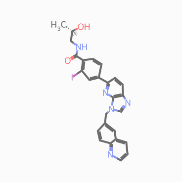 C[C@H](O)CNC(=O)c1ccc(-c2ccc3ncn(Cc4ccc5ncccc5c4)c3n2)cc1I